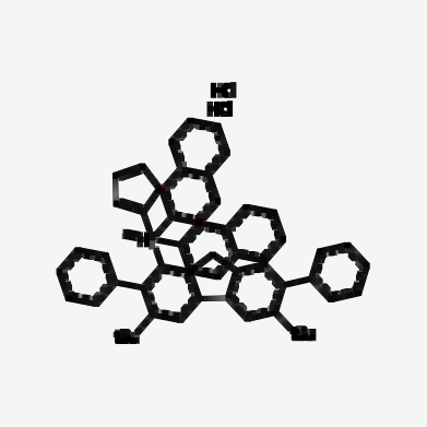 Cl.Cl.[CH2]=[Hf]([C]1=CC=CC1)([c]1ccc2ccccc2c1)([c]1ccc2ccccc2c1)[c]1c2c(cc(C(C)(C)C)c1-c1ccccc1)-c1cc(C(C)(C)C)c(-c3ccccc3)cc1C2